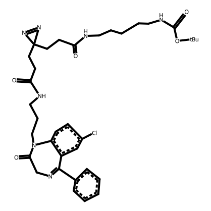 CC(C)(C)OC(=O)NCCCCCNC(=O)CCC1(CCC(=O)NCCCN2C(=O)CN=C(c3ccccc3)c3cc(Cl)ccc32)N=N1